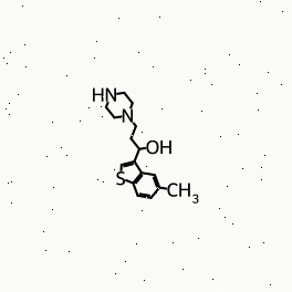 Cc1ccc2scc(C(O)CCN3CCNCC3)c2c1